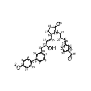 COc1ccc(-c2cccc(C[C@H](O)/C=C/[C@H]3CCC(=O)N3CCSc3nc(C=O)cs3)c2)cc1